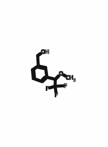 COC(c1cccc(CO)c1)C(F)(F)F